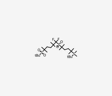 CC(C)(CCC(C)(C)S(=O)(=O)C(C)(C)C)C(F)(F)S(=O)(=O)C(C)(C)CCC(C)(C)S(C)(C)C(C)(C)C